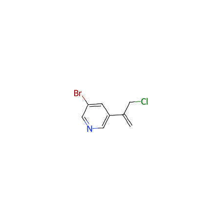 C=C(CCl)c1cncc(Br)c1